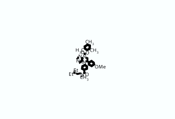 CCN(CC)CCN(C)C(=O)c1ccc(NC(CN(C(=O)Oc2c(C)cc(C)cc2C)c2ccncn2)c2ccc(OC)cc2)cc1